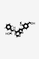 COc1cc(CO)ccc1-c1cc2c(N[C@H](CO)c3ccccc3)ncnc2s1